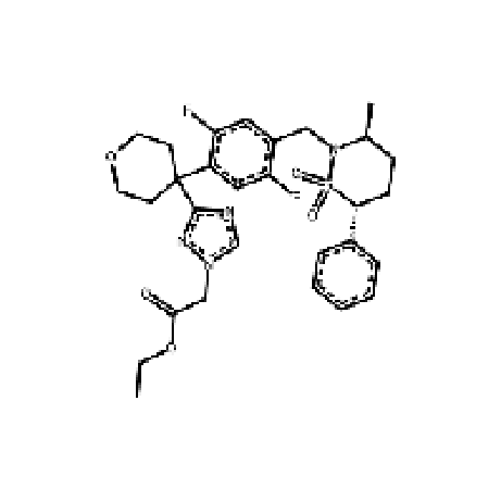 CCOC(=O)Cn1cnc(C2(c3cc(F)c(CN4[C@@H](C)CC[C@H](c5ccccc5)S4(=O)=O)cc3F)CCOCC2)n1